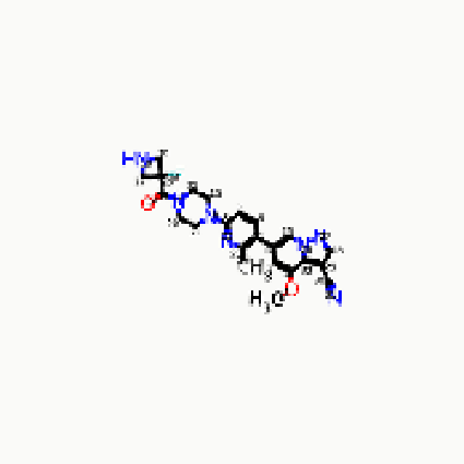 COc1cc(-c2ccc(N3CCN(C(=O)C4(F)CNC4)CC3)nc2C)cn2ncc(C#N)c12